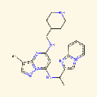 CC(C)c1cnn2c(NC(C)c3cn4ccccc4n3)cc(NCC3CCNCC3)nc12